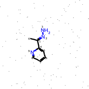 C/C(=N\N)c1ccccn1